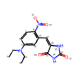 CCN(CC)c1ccc([N+](=O)[O-])c(C=C2NC(=O)NC2=O)c1